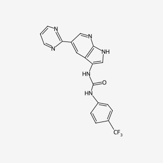 O=C(Nc1ccc(C(F)(F)F)cc1)Nc1c[nH]c2ncc(-c3ncccn3)cc12